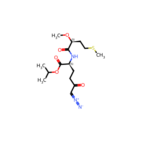 CO[C@@H](CCSC)C(=O)N[C@@H](CCC(=O)C=[N+]=[N-])C(=O)OC(C)C